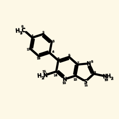 Cc1ccc(-c2cc3nc(N)sc3nc2N)cc1